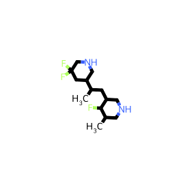 CC(CC1CNCC(C)C1F)C1CNCC(F)(F)C1